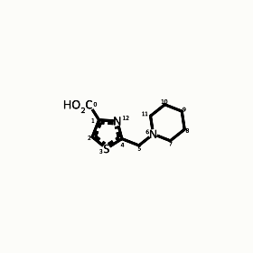 O=C(O)c1csc(CN2CCCCC2)n1